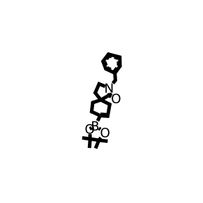 CC1(C)OB(C2=CCC3(CC2)CCN(Cc2ccccc2)C3=O)OC1(C)C